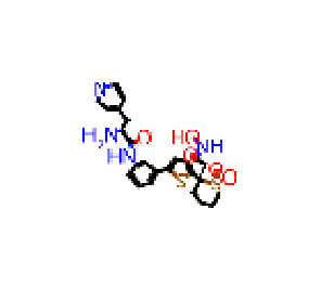 N[C@@H](Cc1ccncc1)C(=O)Nc1cccc(-c2ccc([C@@]3(CC(=O)NO)CCCCS3(=O)=O)s2)c1